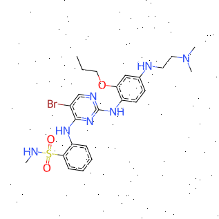 CCCOc1cc(NCCN(C)C)ccc1Nc1ncc(Br)c(Nc2ccccc2S(=O)(=O)NC)n1